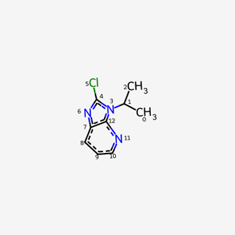 CC(C)n1c(Cl)nc2cccnc21